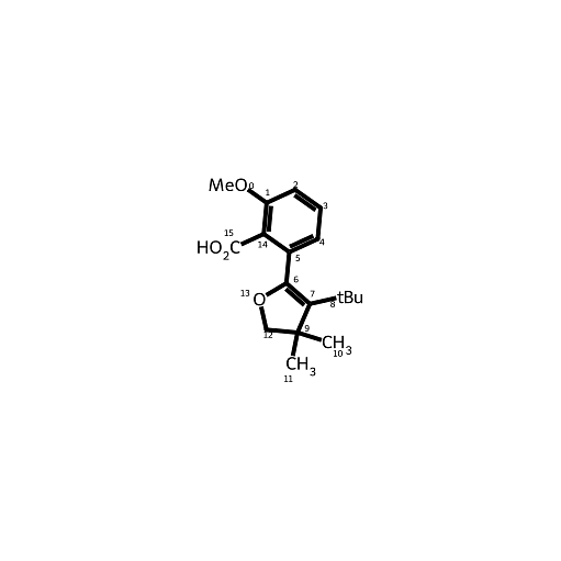 COc1cccc(C2=C(C(C)(C)C)C(C)(C)CO2)c1C(=O)O